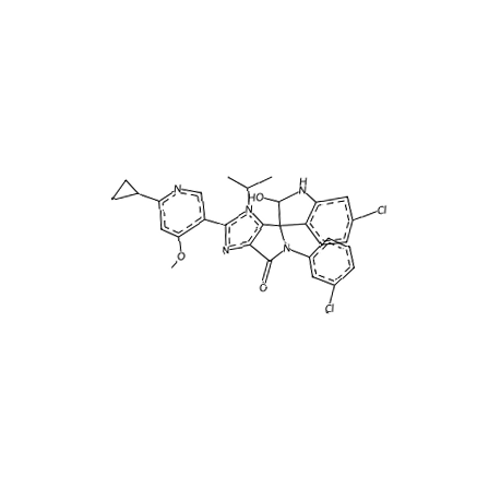 COc1cc(C2CC2)ncc1-c1nc2c(n1C(C)C)C1(c3ccc(Cl)cc3NC1O)N(c1cccc(Cl)c1)C2=O